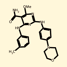 COc1nc(Nc2ccc(N3CCOCC3)cc2)nc(Nc2cccc(C)c2)c1C(N)=O